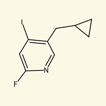 Fc1cc(I)c([CH]C2CC2)cn1